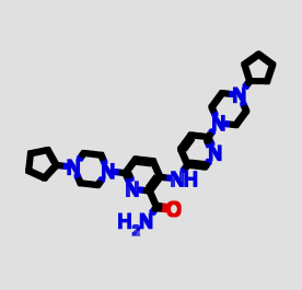 NC(=O)c1nc(N2CCN(C3CCCC3)CC2)ccc1Nc1ccc(N2CCN(C3CCCC3)CC2)nc1